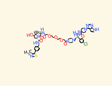 Cc1ncsc1-c1ccc(CNC(=O)[C@@H]2C[C@@H](O)CN2C(=O)[C@@H](NC(=O)COCCOCCOCC(=O)N2CCN(CC[C@H](NC(=O)C3(N)CCN(c4ncnc5[nH]ccc45)CC3)c3ccc(Cl)cc3)CC2)C(C)(C)C)cc1